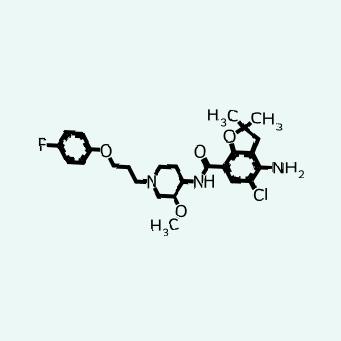 COC1CN(CCCOc2ccc(F)cc2)CCC1NC(=O)c1cc(Cl)c(N)c2c1OC(C)(C)C2